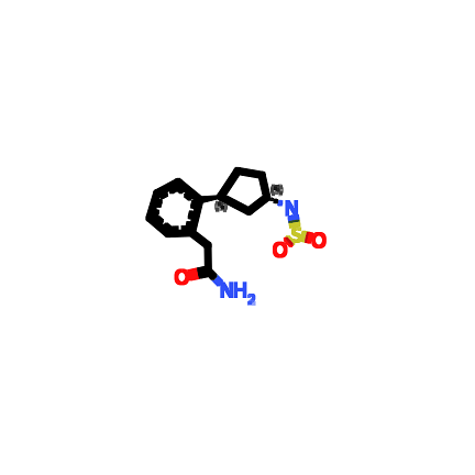 NC(=O)Cc1ccccc1[C@H]1CC[C@H](N=S(=O)=O)C1